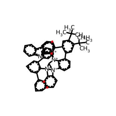 CC(C)(C)c1cc2c(cc1C(C)(C)C)-c1ccc3c4ccccc4n4c3c1[N+]1(c3c-2cccc3[N+]23c5ccccc5[N+]2(c2c(-c5ccccc5)cccc2-c2ccccc2)C13)[n+]1ccccc1-4